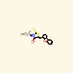 O=C(O)CN1C(=O)C(=Cc2cccc3c2oc2ccccc23)SC1=S